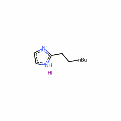 CCCCCCc1ncc[nH]1.I